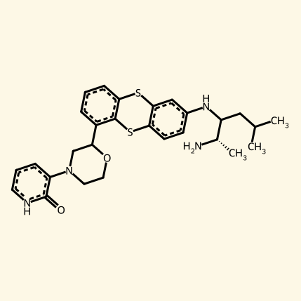 CC(C)CC(Nc1ccc2c(c1)Sc1cccc(C3CN(c4ccc[nH]c4=O)CCO3)c1S2)[C@H](C)N